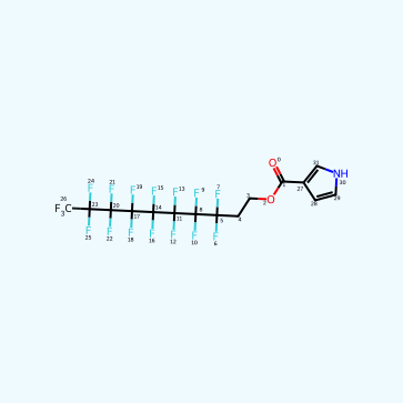 O=C(OCCC(F)(F)C(F)(F)C(F)(F)C(F)(F)C(F)(F)C(F)(F)C(F)(F)C(F)(F)F)c1cc[nH]c1